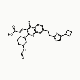 O=COC1CCCN(c2nc3cc(CCc4nc(C5CCC5)cs4)ccn3c(=O)c2/C=C/C(=O)O)C1